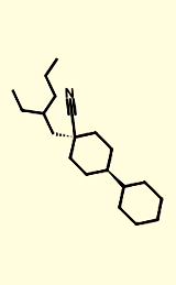 CCCC(CC)C[C@]1(C#N)CC[C@@H](C2CCCCC2)CC1